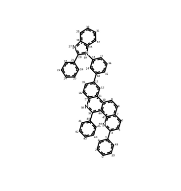 c1ccc(-c2ccc3ccc4c5cc(-c6cccc(-n7c(-c8ccccc8)nc8ccccc87)c6)ccc5nc(-c5ccccc5)c4c3n2)cc1